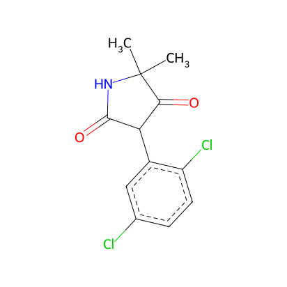 CC1(C)NC(=O)C(c2cc(Cl)ccc2Cl)C1=O